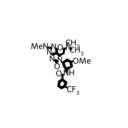 CNc1ncc2c(CC(=O)N(C)C)n(-c3cc(NC(=O)c4cccc(C(F)(F)F)c4)cc(OC)c3)c(=O)nc2n1